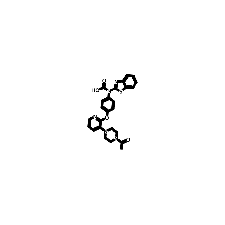 CC(=O)N1CCN(c2cccnc2Oc2ccc(N(C(=O)O)c3nc4ccccc4s3)cc2)CC1